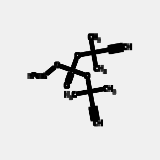 C#CC(C)(C)OP(=O)(OCCCCC)OC(C)(C)C#C